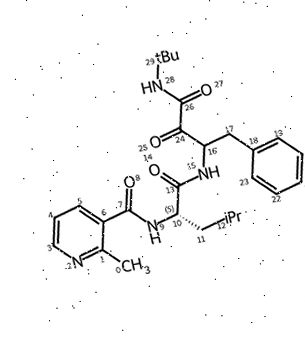 Cc1ncccc1C(=O)N[C@@H](CC(C)C)C(=O)NC(Cc1ccccc1)C(=O)C(=O)NC(C)(C)C